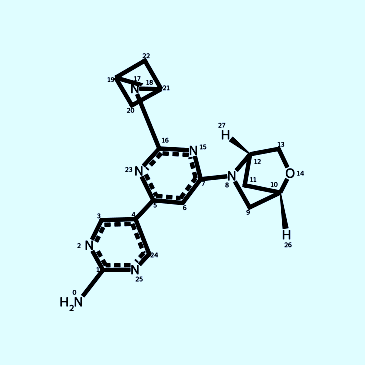 Nc1ncc(-c2cc(N3C[C@@H]4C[C@H]3CO4)nc(N3CC4CC3C4)n2)cn1